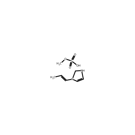 CC=CN1C=CNC1.COS(=O)(=O)O